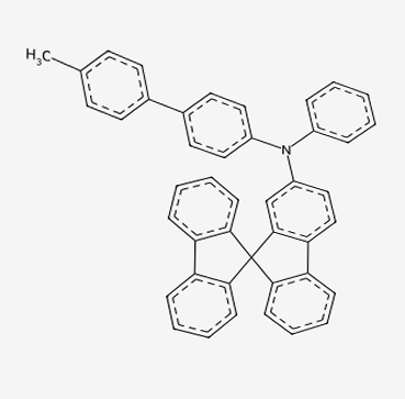 Cc1ccc(-c2ccc(N(c3ccccc3)c3ccc4c(c3)C3(c5ccccc5-c5ccccc53)c3ccccc3-4)cc2)cc1